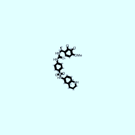 COc1ccc([C@H](C)NC(=O)Nc2ccc(S(=O)(=O)Nc3ccc4c(c3)CCCN4)cc2)c(Cl)c1Cl